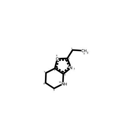 CCc1nc2c(o1)CCCN2